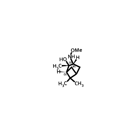 CON[C@@H]1CC2C[C@@H](C2(C)C)[C@]1(C)O